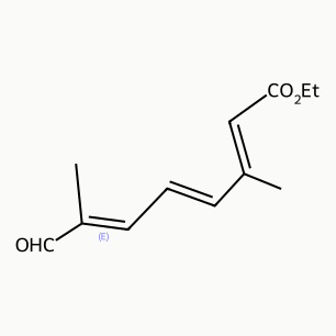 CCOC(=O)C=C(C)C=C/C=C(\C)C=O